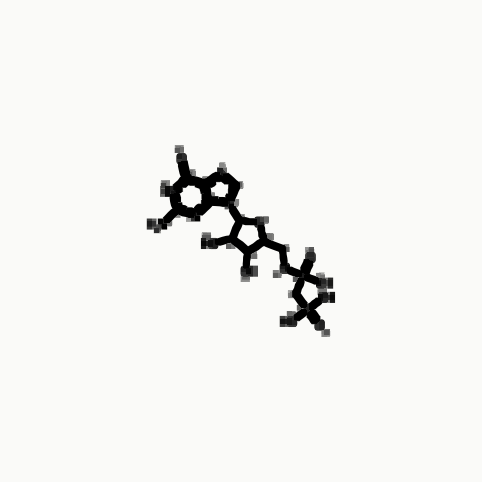 Nc1nc2c(ncn2C2OC(COP(=O)(O)CP(=O)(O)O)C(O)C2O)c(=O)[nH]1